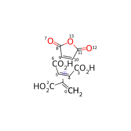 C=CC(=O)O.O=C(O)/C=C\C(=O)O.O=C1C=CC(=O)O1